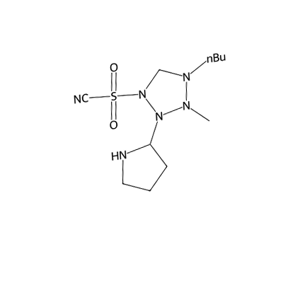 CCCCN1CN(S(=O)(=O)C#N)N(C2CCCN2)N1C